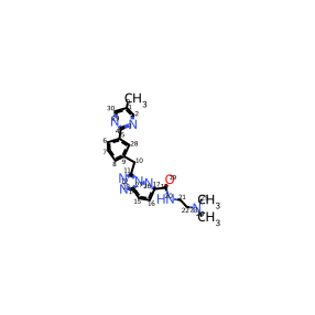 Cc1cnc(-c2cccc(Cc3nnc4ccc(C(=O)NCCN(C)C)nn34)c2)nc1